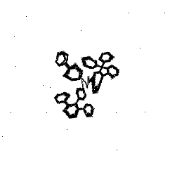 c1ccc(-c2cccc(-c3ccccc3)c2-c2ccc(N(c3ccc(C4CC5CCC4C5)cc3)c3ccc4c(c3)C(c3ccccc3)(c3ccccc3)c3ccccc3-4)cc2)cc1